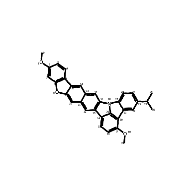 COc1ccc2c(c1)oc1cc3cc4c5ccc(OC)c6c7cc(C(C)C)ccc7n(c4cc3cc12)c56